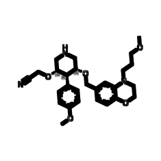 COCCCN1CCOc2ccc(CO[C@H]3CNC[C@@H](OCC#N)[C@@H]3c3ccc(OC)cc3)cc21